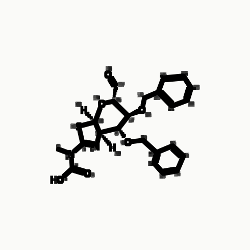 CN(C(=O)O)C1=N[C@@H]2[C@@H](OCc3ccccc3)[C@H](OCc3ccccc3)[C@@H](C=O)O[C@@H]2S1